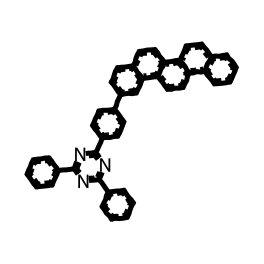 c1ccc(-c2nc(-c3ccccc3)nc(-c3ccc(-c4ccc5ccc6c(ccc7c8ccccc8ccc76)c5c4)cc3)n2)cc1